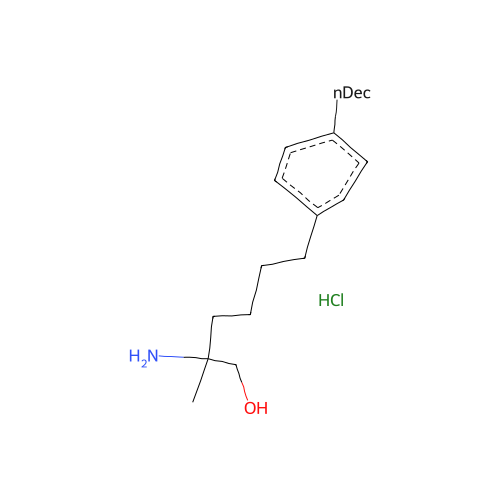 CCCCCCCCCCc1ccc(CCCCC(C)(N)CO)cc1.Cl